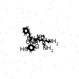 NCCN(CCN)C(=O)C[C@H](N)C(=O)N[C@@H](CCc1ccccc1)C(=O)Nc1cc(O)ccc1Cl